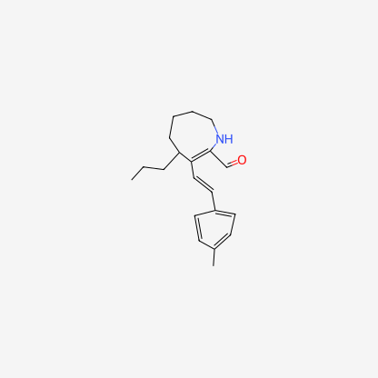 CCCC1CCCCN/C(C=O)=C1/C=C/c1ccc(C)cc1